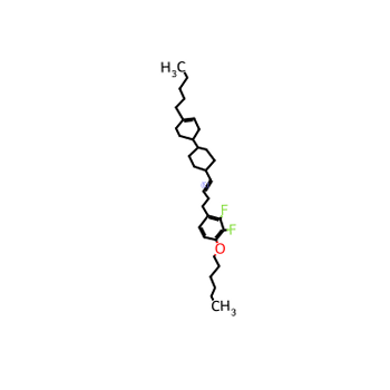 CCCCCCOc1ccc(CC/C=C/C2CCC(C3CC=C(CCCCC)CC3)CC2)c(F)c1F